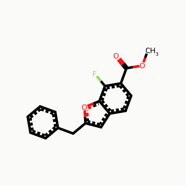 COC(=O)c1ccc2cc(Cc3ccccc3)oc2c1F